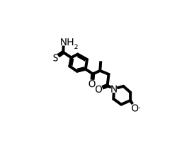 CC(CC(=O)N1CCC([O])CC1)C(=O)c1ccc(C(N)=S)cc1